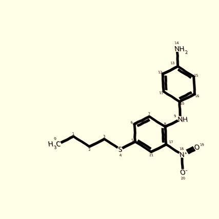 CCCCSc1ccc(Nc2ccc(N)cc2)c([N+](=O)[O-])c1